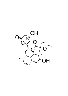 CCOC(CC)(CC)C(=O)OC1CC(O)C=C2C=CC(C)C(CC[C@@H]3C[C@@H](O)CC(=O)O3)C21